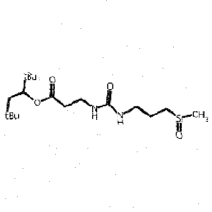 C[Si](=O)CCCNC(=O)NCCC(=O)OC(CC(C)(C)C)C(C)(C)C